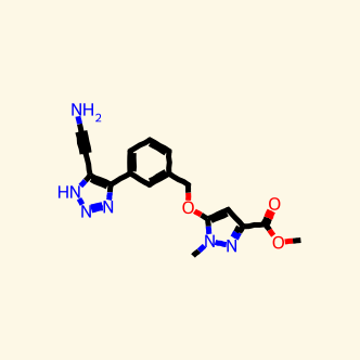 COC(=O)c1cc(OCc2cccc(-c3nn[nH]c3C#CN)c2)n(C)n1